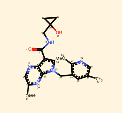 COc1cnc2c(C(=O)NCC3(O)CC3)cn(Cc3cc(C(F)(F)F)cnc3OC)c2n1